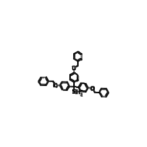 [SiH3]C(c1ccc(OCc2ccccc2)cc1)(c1ccc(OCc2ccccc2)cc1)c1ccc(OCc2ccccc2)cc1